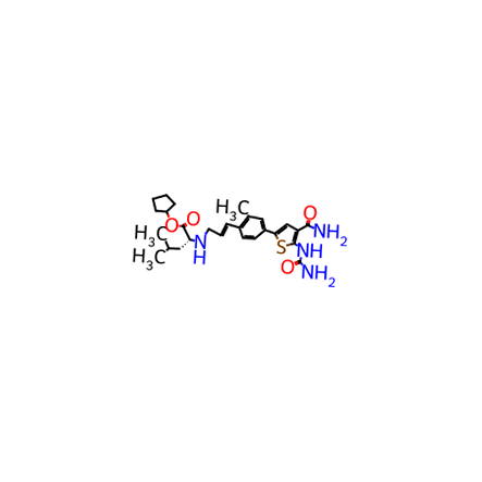 Cc1cc(-c2cc(C(N)=O)c(NC(N)=O)s2)ccc1/C=C/CN[C@H](CC(C)C)C(=O)OC1CCCC1